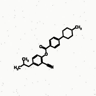 CC(C)Cc1ccc(OC(=O)c2ccc(C3CCC(C)CC3)cc2)c(C#N)c1